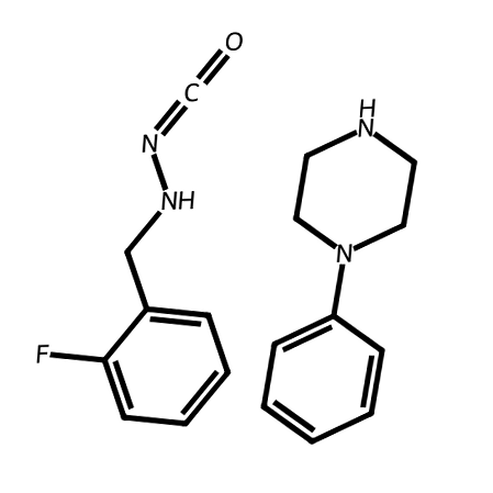 O=C=NNCc1ccccc1F.c1ccc(N2CCNCC2)cc1